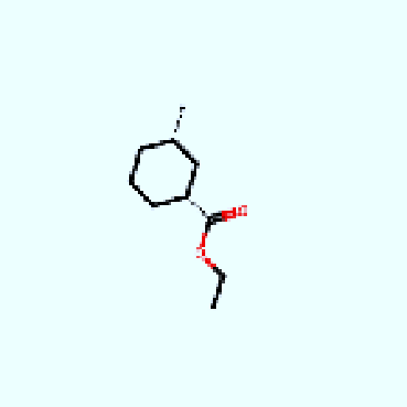 CCOC(=O)[C@@H]1CCC[C@H](C)C1